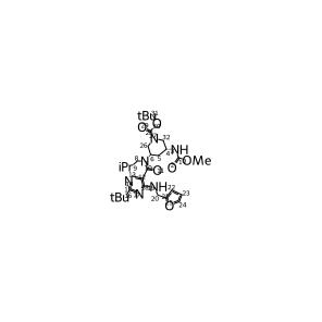 COC(=O)N[C@@H]1C[C@H](N(CC(C)C)C(=O)c2cnc(C(C)(C)C)nc2NCc2ccco2)CN(C(=O)OC(C)(C)C)C1